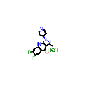 Cc1nn(-c2ccncc2)c2[nH]c3cc(F)c(F)cc3c(=O)c12.Cl.Cl